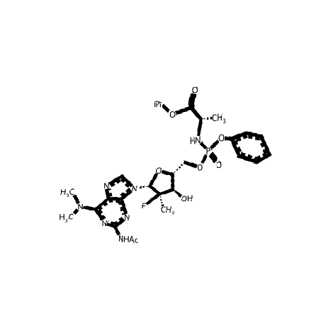 CC(=O)Nc1nc(N(C)C)c2ncn([C@@H]3O[C@H](COP(=O)(N[C@@H](C)C(=O)OC(C)C)Oc4ccccc4)[C@@H](O)[C@@]3(C)F)c2n1